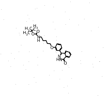 CC(C)(C)OC(=O)NCCCCCOc1cccc(-c2n[nH]c(=O)c3ccccc23)c1